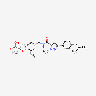 CC1=C(OC(C)(C)C(=O)O)C=CC(CNC(=O)c2cc(-c3ccc(CC(C)C)cc3)nn2C)C1